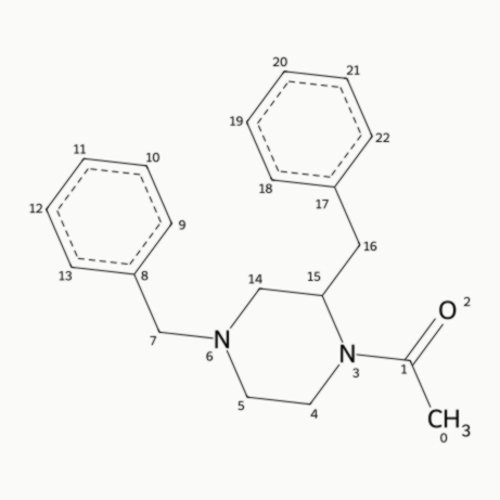 CC(=O)N1CCN(Cc2ccccc2)CC1Cc1ccccc1